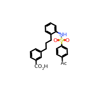 CC(=O)c1ccc(S(=O)(=O)Nc2ccccc2CCCc2cccc(C(=O)O)c2)cc1